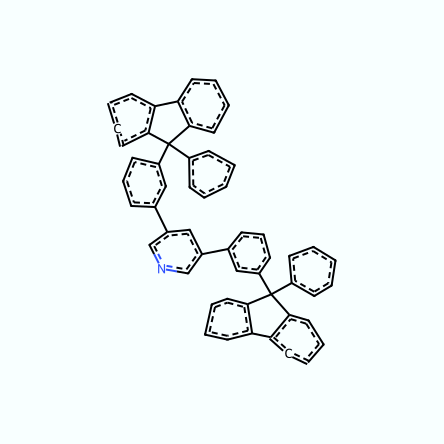 c1ccc(C2(c3cccc(-c4cncc(-c5cccc(C6(c7ccccc7)c7ccccc7-c7ccccc76)c5)c4)c3)c3ccccc3-c3ccccc32)cc1